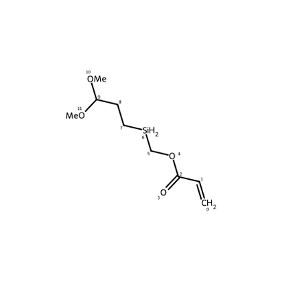 C=CC(=O)OC[SiH2]CCC(OC)OC